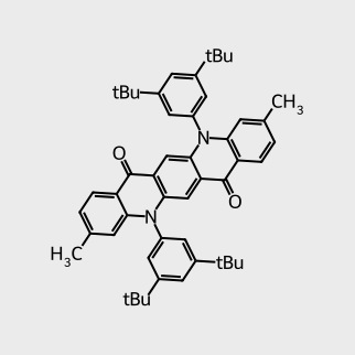 Cc1ccc2c(=O)c3cc4c(cc3n(-c3cc(C(C)(C)C)cc(C(C)(C)C)c3)c2c1)c(=O)c1ccc(C)cc1n4-c1cc(C(C)(C)C)cc(C(C)(C)C)c1